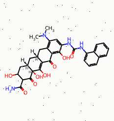 CN(C)c1cc(NC(=O)Nc2cccc3ccccc23)c(O)c2c1C[C@H]1C[C@H]3CC(O)C(C(N)=O)C(=O)[C@@]3(O)C(O)=C1C2=O